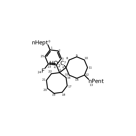 CCCCCCCc1ccc(C2(C3(C(=O)O)CCCCC(CCCCC)CC3)CCCCCCC2)c(F)c1